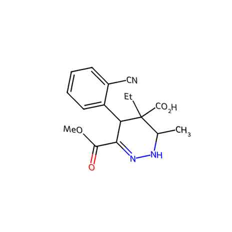 CCC1(C(=O)O)C(C)NN=C(C(=O)OC)C1c1ccccc1C#N